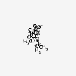 CCn1c(=O)c(OC)c(OCC=C(C)C)c2ccc([N+](=O)[O-])cc21